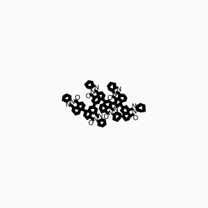 O=c1c2cccc3cc(-c4cc(-c5cc(-c6ccc7c8c6cc(-c6cc9c(-c%10ccc%11c(=O)n%12c%13ccccc%13nc%12c%12cccc%10c%11%12)ccc%10c(=O)n%11c%12ccccc%12nc%11c(c6)c9%10)cc8c(=O)n6c8ccccc8nc76)c6cccc7c(=O)n8c9ccccc9nc8c5c67)c5c(=O)n6c7ccccc7nc6c6cccc4c56)cc(c32)c2nc3ccccc3n12